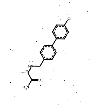 C[C@H](NCc1ccc(-c2ccc(Cl)cc2)cc1)C(N)=O